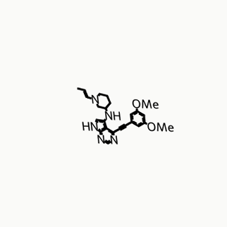 CC=CN1CCCC(Nc2c[nH]c3ncnc(C#Cc4cc(OC)cc(OC)c4)c23)C1